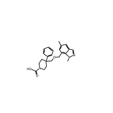 Cc1cc(COCC2(c3ccccc3)CCN(C(=O)O)CC2)c2c(cnn2C)c1